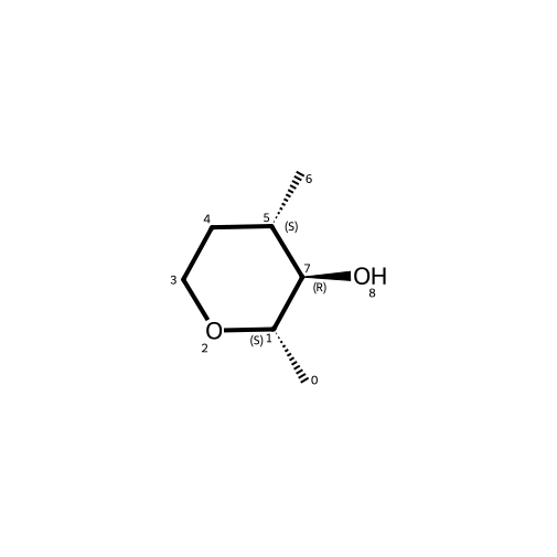 C[C@@H]1OCC[C@H](C)[C@H]1O